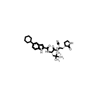 CC(C)(C)C[C@H](NC(=O)c1cc2cc(C3CCCCC3)ccc2[nH]1)C(=O)N[C@H](C#N)C[C@@H]1CCNC1=O